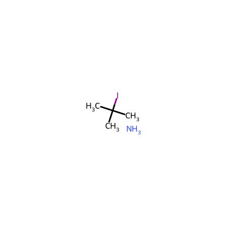 CC(C)(C)I.N